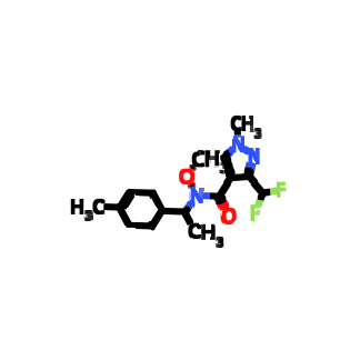 CON(C(=O)c1cn(C)nc1C(F)F)C(C)C1CC=C(C)CC1